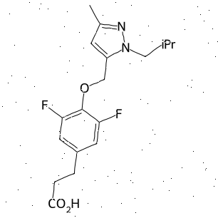 Cc1cc(COc2c(F)cc(CCC(=O)O)cc2F)n(CC(C)C)n1